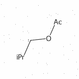 CC(=O)O[C]C(C)C